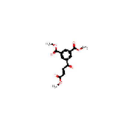 COC(=O)C=CC(=O)c1cc(C(=O)OC)cc(C(=O)OC)c1